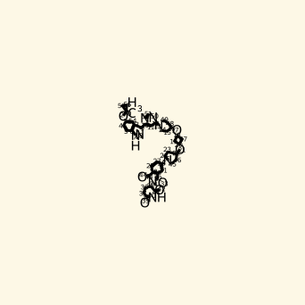 CC1(Oc2ccc3[nH]nc(-c4cc(N5CCC(O[C@H]6C[C@H](OC7CCN(c8ccc9c(c8)C(=O)N(C8CCC(=O)NC8=O)C9=O)CC7)C6)CC5)ncn4)c3c2)CC1